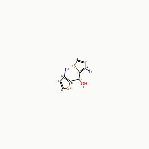 OC(c1sccc1I)c1sccc1I